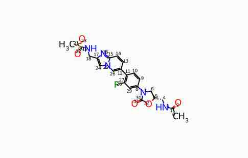 CC(=O)NC[C@H]1CN(c2ccc(-c3ccc4nc(CNS(C)(=O)=O)cn4c3)c(F)c2)C(=O)O1